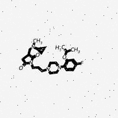 CC(C)Oc1cc(F)ccc1N1CCN(CCCN2C(=O)CC(CN(C)C3CC3)C2=O)CC1